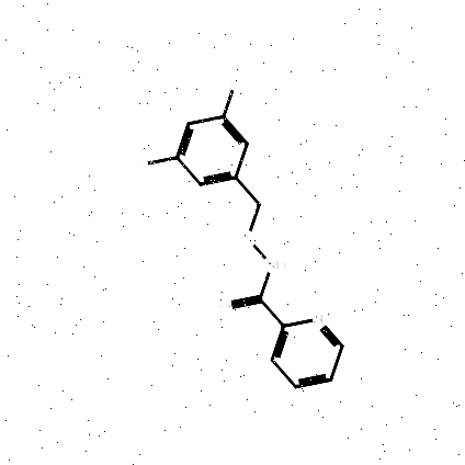 Cc1cc(C)cc(CNNC(=O)c2ccccn2)c1